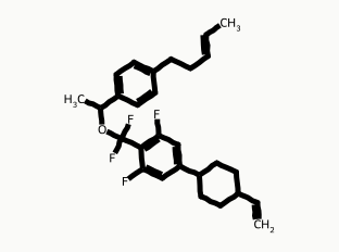 C=CC1CCC(c2cc(F)c(C(F)(F)OC(C)c3ccc(CC/C=C/C)cc3)c(F)c2)CC1